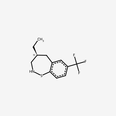 CC[C@@H]1CNSc2ccc(C(F)(F)F)cc2C1